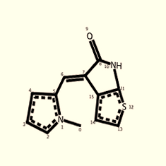 Cn1cccc1C=C1C(=O)Nc2sccc21